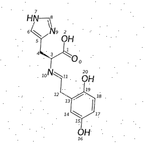 O=C(O)[C@H](Cc1c[nH]cn1)N=CCc1cc(O)ccc1O